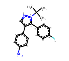 CC(C)(C)n1ncc(-c2ccc(N)cc2)c1-c1ccc(F)cc1